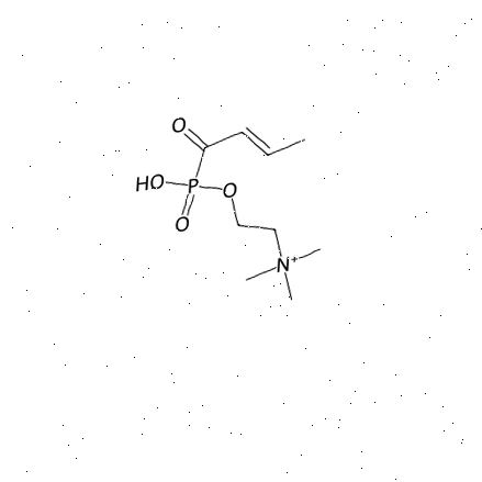 CC=CC(=O)P(=O)(O)OCC[N+](C)(C)C